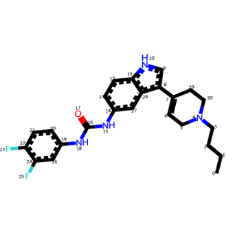 CCCCN1CC=C(c2c[nH]c3ccc(NC(=O)Nc4ccc(F)c(F)c4)cc23)CC1